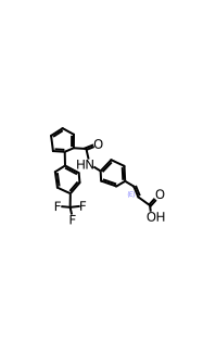 O=C(O)/C=C/c1ccc(NC(=O)c2ccccc2-c2ccc(C(F)(F)F)cc2)cc1